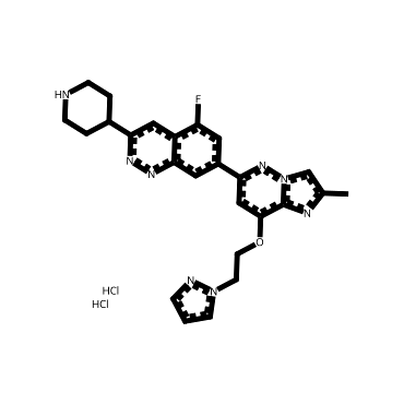 Cc1cn2nc(-c3cc(F)c4cc(C5CCNCC5)nnc4c3)cc(OCCn3cccn3)c2n1.Cl.Cl